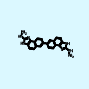 PPc1nc2c(ccc3cc(-c4ccc5c(ccc6[nH]c(PP)nc65)c4)ccc32)[nH]1